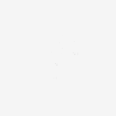 Cc1cccc2c(-c3ccc4cccc(Cl)c4n3)c[nH]c12